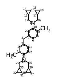 Cc1cc(Cc2ccc(C)c(N(CC3CC3)CC3CC3)c2)ccc1N(CC1CC1)CC1CC1